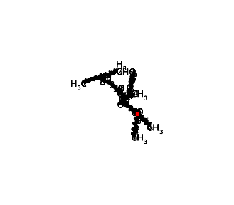 CCCCCCCCC(CCCCCC)C(=O)OCCCCCC(=O)OCC(CN(CC)CCOCCOCCO)OC(=O)CCCCCOC(=O)[C@@H](CCCCCC)CCCCCCCC